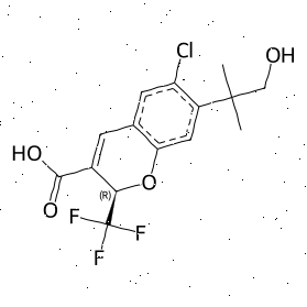 CC(C)(CO)c1cc2c(cc1Cl)C=C(C(=O)O)[C@H](C(F)(F)F)O2